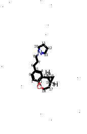 c1cc2c(cc1CCCN1CCCC1)[C@H]1C[C@H]1CCO2